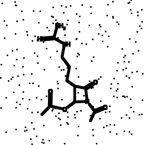 CC(=O)OC1C(CCCNC(=N)N)C(=O)N1C(C)=O